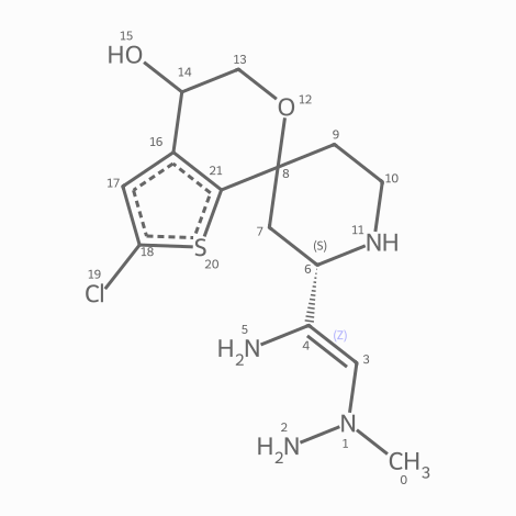 CN(N)/C=C(\N)[C@@H]1CC2(CCN1)OCC(O)c1cc(Cl)sc12